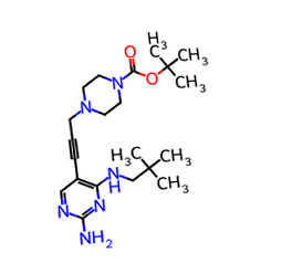 CC(C)(C)CNc1nc(N)ncc1C#CCN1CCN(C(=O)OC(C)(C)C)CC1